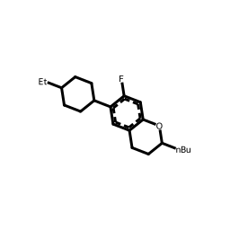 CCCCC1CCc2cc(C3CCC(CC)CC3)c(F)cc2O1